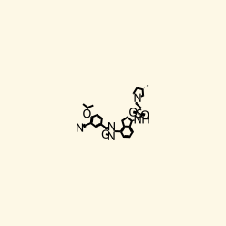 CC(C)Oc1ccc(-c2nc(-c3cccc4c3CC[C@H]4NS(=O)(=O)CCN3CC[C@H](C)C3)no2)cc1C#N